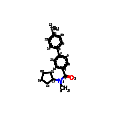 CN(C(=O)c1ccc(-c2ccc(C(C)(C)C)cc2)cc1)C1CCCC1